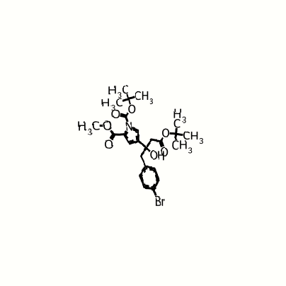 COC(=O)c1cc(C(O)(CC(=O)OC(C)(C)C)Cc2ccc(Br)cc2)cn1C(=O)OC(C)(C)C